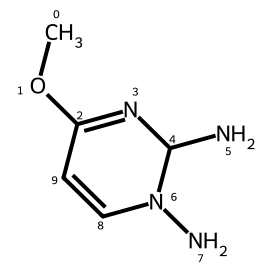 COC1=NC(N)N(N)C=C1